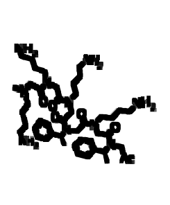 CC(=O)CN(C(=O)CN(CCCCN)C(=O)CN(C(=O)CN(CCCCN)C(=O)CN(CCCCN)C(=O)CN(C)CCCCN)[C@@H](C)c1ccccc1)[C@@H](C)c1ccccc1